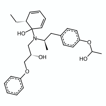 CC[C@@H]1C=CC=CC1(O)N(C[C@H](O)COc1ccccc1)[C@H](C)Cc1ccc(OC(C)O)cc1